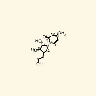 Nc1ccn([C@@H]2OC(CCO)[C@@H](O)[C@@H]2O)c(=O)n1